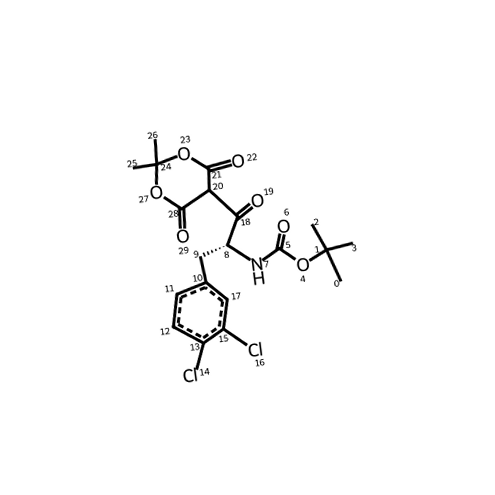 CC(C)(C)OC(=O)N[C@H](Cc1ccc(Cl)c(Cl)c1)C(=O)C1C(=O)OC(C)(C)OC1=O